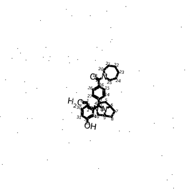 C=CCN1CCC2CCC(C1)N2C(c1ccc(C(=O)N2CCCCCC2)cc1)c1cccc(O)c1